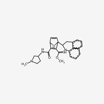 COC(=O)C1=C(C(=O)NC2CCN(C)C2)C2C=CC1(C(Cc1ccccc1)Nc1ccccc1)O2